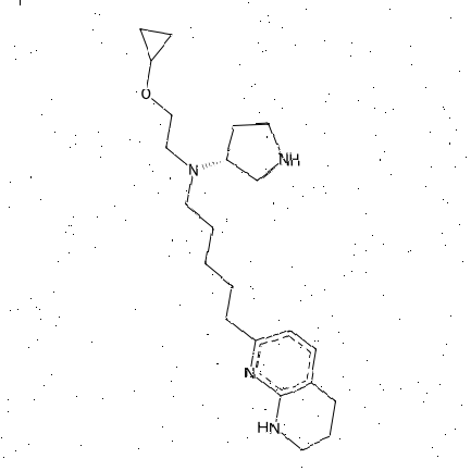 c1cc2c(nc1CCCCCN(CCOC1CC1)[C@@H]1CCNC1)NCCC2